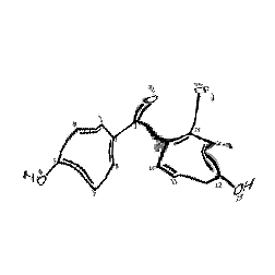 O=C(c1ccc(O)cc1)c1ccc(O)cc1C(F)(F)F